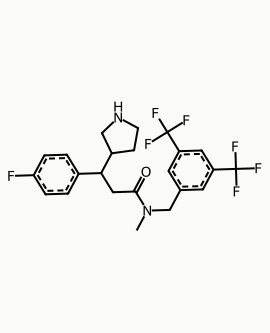 CN(Cc1cc(C(F)(F)F)cc(C(F)(F)F)c1)C(=O)CC(c1ccc(F)cc1)C1CCNC1